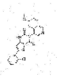 COc1ccc2cncc(-n3c(=O)[nH]c4cc(-c5ccccc5Cl)sc4c3=O)c2n1